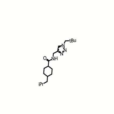 CC(C)CC1CCC(C(=O)NCc2cn(CC(C)(C)C)nn2)CC1